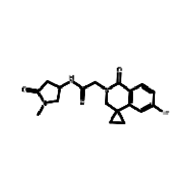 CN1CC(NC(=O)CN2CC3(CC3)c3cc(Br)ccc3C2=O)CC1=O